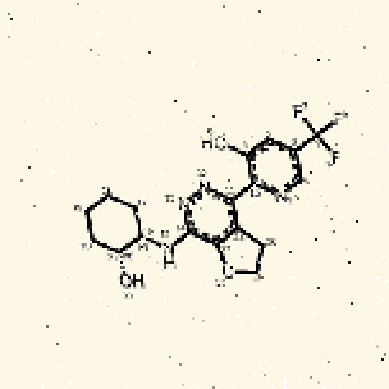 Oc1cc(C(F)(F)F)cnc1-c1nnc(N[C@@H]2CCCC[C@H]2O)c2c1CCO2